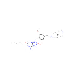 CCCCOc1nc(N)c2nc(O)n(Cc3ccc(CCN4CCC5(CCNCC5)CC4)cc3OC)c2n1